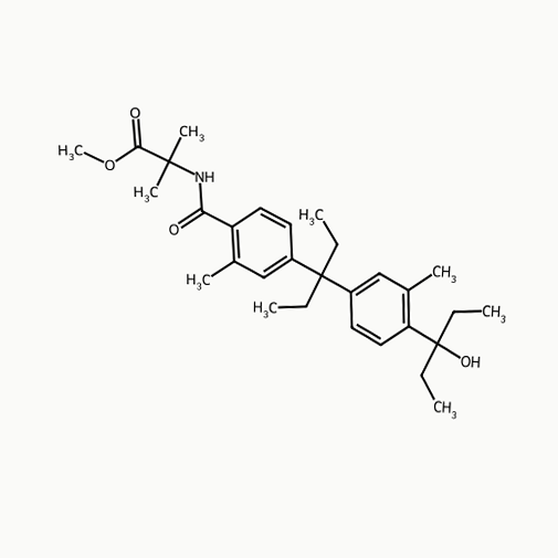 CCC(O)(CC)c1ccc(C(CC)(CC)c2ccc(C(=O)NC(C)(C)C(=O)OC)c(C)c2)cc1C